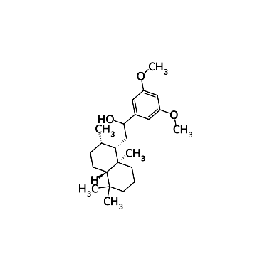 COc1cc(OC)cc(C(O)C[C@H]2[C@@H](C)CC[C@H]3C(C)(C)CCC[C@]23C)c1